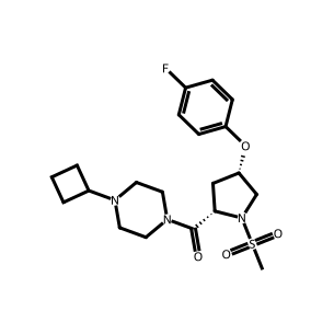 CS(=O)(=O)N1C[C@@H](Oc2ccc(F)cc2)C[C@H]1C(=O)N1CCN(C2CCC2)CC1